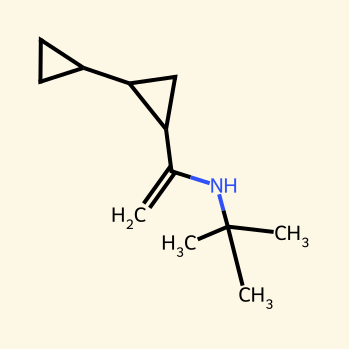 C=C(NC(C)(C)C)C1CC1C1CC1